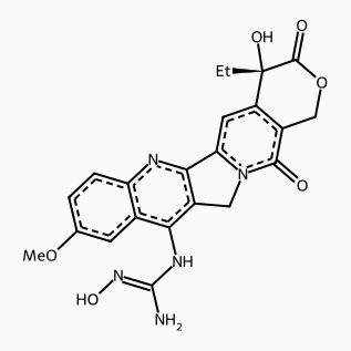 CC[C@@]1(O)C(=O)OCc2c1cc1n(c2=O)Cc2c-1nc1ccc(OC)cc1c2NC(N)=NO